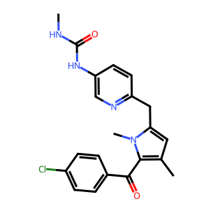 CNC(=O)Nc1ccc(Cc2cc(C)c(C(=O)c3ccc(Cl)cc3)n2C)nc1